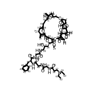 C=C1C[C@@H]2CC[C@@]34CC5OC6C(O[C@H]7CC[C@H](CC(=O)C[C@@H]8[C@@H](OC)[C@@H](C[C@H](O)CNC(=O)CNC(=O)[C@H](Cc9ccccc9)NC(=O)CNC(=O)CNC(=O)CCN(CC)CC)O[C@H]8C[C@H]8O[C@@H](CC[C@@H]1O2)C[C@@H](C)C8=C)O[C@@H]7[C@@H]6O3)[C@H]5O4